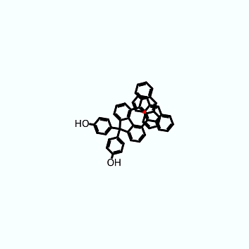 Oc1ccc(C2(c3ccc(O)cc3)c3cccc(-c4c5ccccc5cc5ccccc45)c3-c3c(-c4c5ccccc5cc5ccccc45)cccc32)cc1